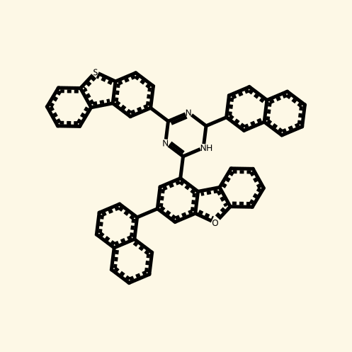 c1ccc2cc(C3N=C(c4ccc5sc6ccccc6c5c4)N=C(c4cc(-c5cccc6ccccc56)cc5oc6ccccc6c45)N3)ccc2c1